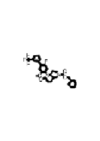 COc1cc(-c2cccc(C(F)(F)F)c2)c(F)cc1N1C(=O)CCC2CN(C(=O)OCc3ccccc3)CCC21